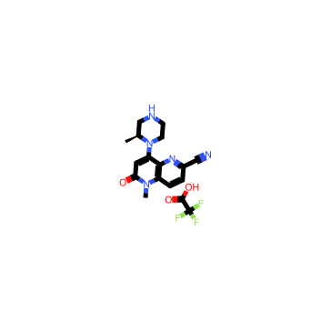 C[C@H]1CNCCN1c1cc(=O)n(C)c2ccc(C#N)nc12.O=C(O)C(F)(F)F